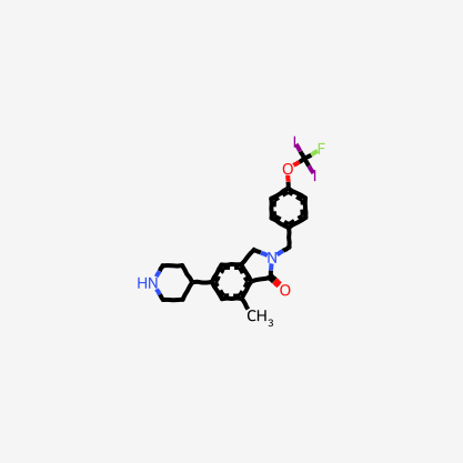 Cc1cc(C2CCNCC2)cc2c1C(=O)N(Cc1ccc(OC(F)(I)I)cc1)C2